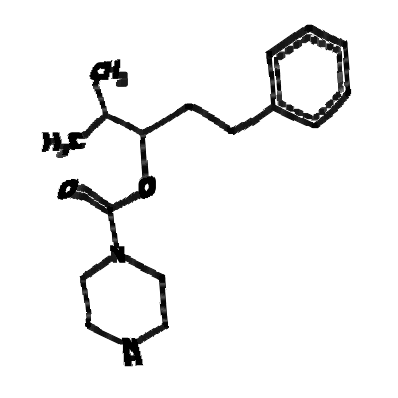 CC(C)C(CCc1ccccc1)OC(=O)N1CCNCC1